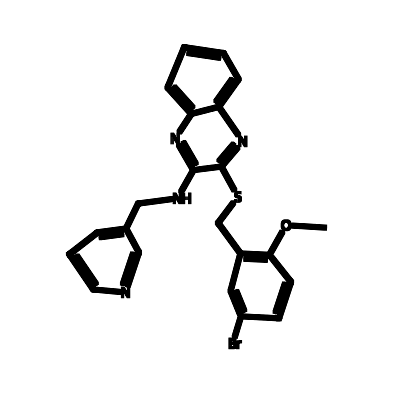 COc1ccc(Br)cc1CSc1nc2ccccc2nc1NCc1cccnc1